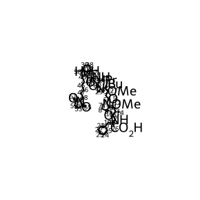 CC[C@H](C)[C@@H]([C@@H](CC(=O)N1CCCC1[C@H](OC)[C@@H](C)C(=O)NC(Cc1ccccc1)C(=O)O)OC)N(C)C(=O)C(NC(=O)[C@@H]1[C@H]2CC[C@H](C2)N1CCCCCCN1C(=O)C=CC1=O)C(C)C